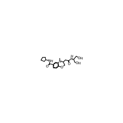 CN1c2cc(C(=O)NC3CCCC3)ccc2OCC1CC(=O)NC(CO)CO